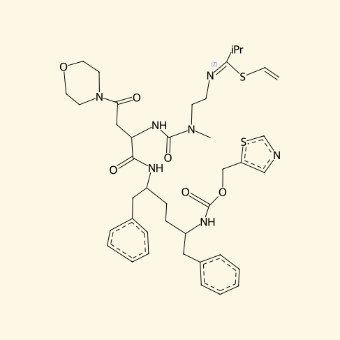 C=CS/C(=N\CCN(C)C(=O)NC(CC(=O)N1CCOCC1)C(=O)NC(CCC(Cc1ccccc1)NC(=O)OCc1cncs1)Cc1ccccc1)C(C)C